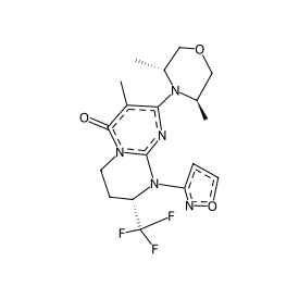 Cc1c(N2[C@H](C)COC[C@H]2C)nc2n(c1=O)CC[C@@H](C(F)(F)F)N2c1ccon1